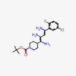 CC(C)(C)OC(=O)N1CCC(/C(N)=C(N)/C=C(\N)c2cc(Cl)ccc2F)CC1